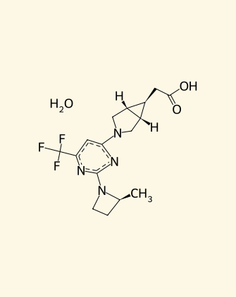 C[C@H]1CCN1c1nc(N2C[C@@H]3[C@@H](CC(=O)O)[C@@H]3C2)cc(C(F)(F)F)n1.O